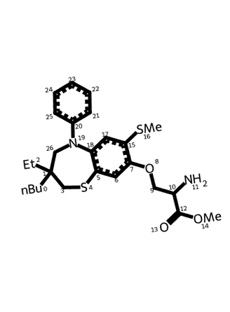 CCCCC1(CC)CSc2cc(OCC(N)C(=O)OC)c(SC)cc2N(c2ccccc2)C1